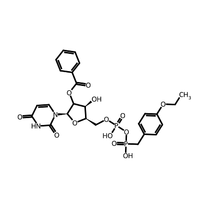 CCOc1ccc(CP(=O)(O)OP(=O)(O)OC[C@H]2O[C@@H](n3ccc(=O)[nH]c3=O)C(OC(=O)c3ccccc3)[C@H]2O)cc1